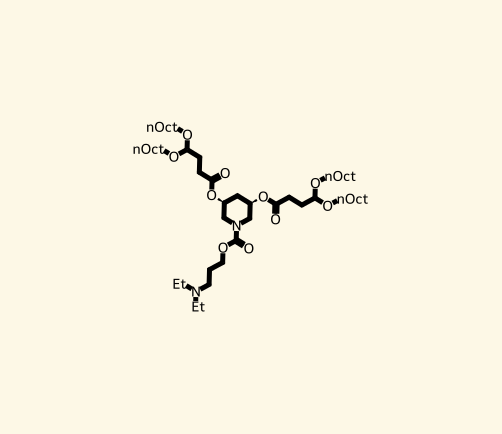 CCCCCCCCOC(CCC(=O)O[C@@H]1C[C@H](OC(=O)CCC(OCCCCCCCC)OCCCCCCCC)CN(C(=O)OCCCN(CC)CC)C1)OCCCCCCCC